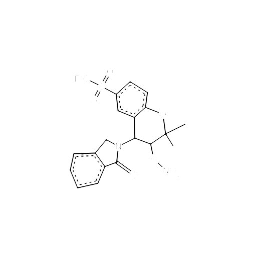 CC1(C)Oc2ccc(S(=O)(=O)C(F)(F)F)cc2C(N2Cc3ccccc3C2=O)C1O[N+](=O)[O-]